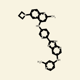 Cc1cc(Nc2cnc3[nH]c(-c4ccc(Nc5cc(C)nc6ccc(N7CCC7)cc56)cn4)nc3c2)ccn1